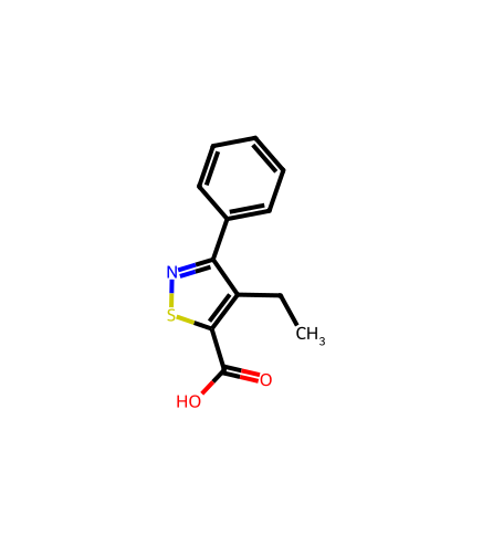 CCc1c(-c2ccccc2)nsc1C(=O)O